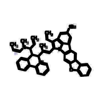 C=Cc1c(C=C(C)C2C(C(C=C)N(C)/C=C\C)c3ccccc3-c3cccc[n+]32)n2c3cc4oc5ccccc5c4cc3c3cc(C(C)(C)C)cc1c32